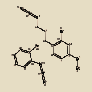 CCOc1ccc(CCCN=[N+]=[N-])c(Br)c1.[N-]=[N+]=Nc1ccccc1Br